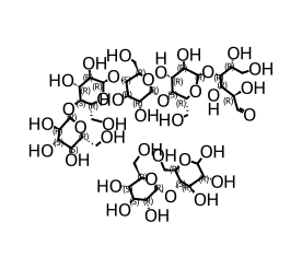 O=C[C@H](O)[C@@H](O)[C@H](O[C@H]1O[C@H](CO)[C@@H](O[C@H]2O[C@H](CO)[C@@H](O[C@H]3O[C@H](CO)[C@@H](O[C@H]4O[C@H](CO)[C@@H](O)[C@H](O)[C@H]4O)[C@H](O)[C@H]3O)[C@H](O)[C@H]2O)[C@H](O)[C@H]1O)[C@H](O)CO.OC[C@H]1O[C@H](O[C@H]2[C@H](O)[C@@H](O)C(O)O[C@@H]2CO)[C@H](O)[C@@H](O)[C@@H]1O